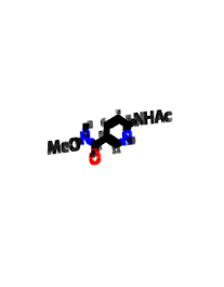 CON(C)C(=O)c1ccc(NC(C)=O)nc1